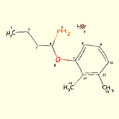 Br.CCCC(P)Oc1cccc(C)c1C